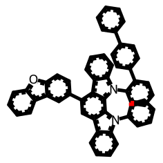 c1ccc(-c2ccc(-c3ccccc3-n3c4ccccc4c4c(-c5ccc6oc7ccccc7c6c5)cc5c6ccccc6n(-c6ccccc6)c5c43)cc2)cc1